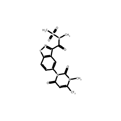 CN(C(=O)c1nsc2ccc(-n3c(=O)cc(C(F)(F)F)n(C)c3=O)cc12)S(C)(=O)=O